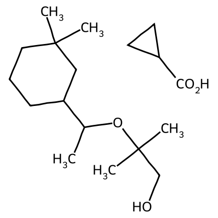 CC(OC(C)(C)CO)C1CCCC(C)(C)C1.O=C(O)C1CC1